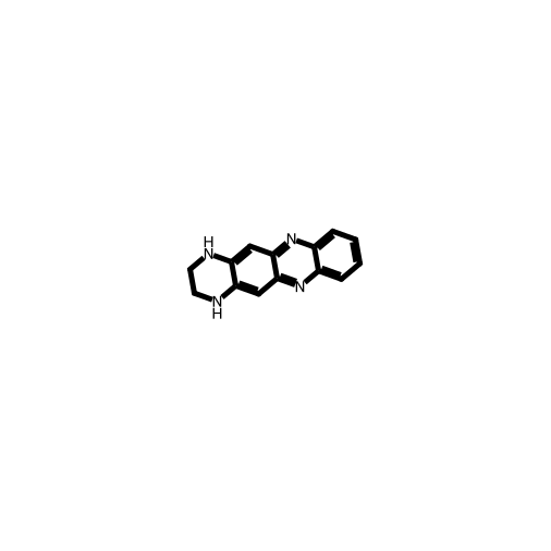 c1ccc2nc3cc4c(cc3nc2c1)NCCN4